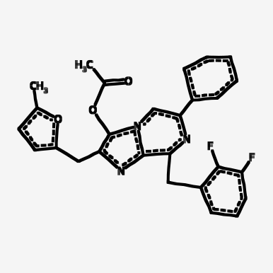 CC(=O)Oc1c(Cc2ccc(C)o2)nc2c(Cc3cccc(F)c3F)nc(-c3ccccc3)cn12